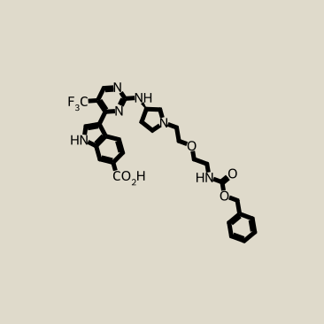 O=C(NCCOCCN1CC[C@@H](Nc2ncc(C(F)(F)F)c(-c3c[nH]c4cc(C(=O)O)ccc34)n2)C1)OCc1ccccc1